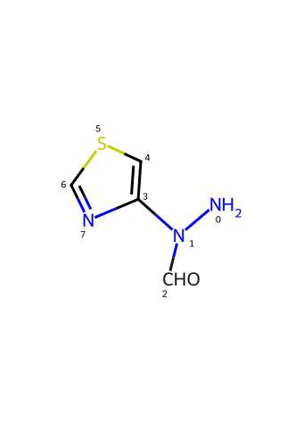 NN(C=O)c1cscn1